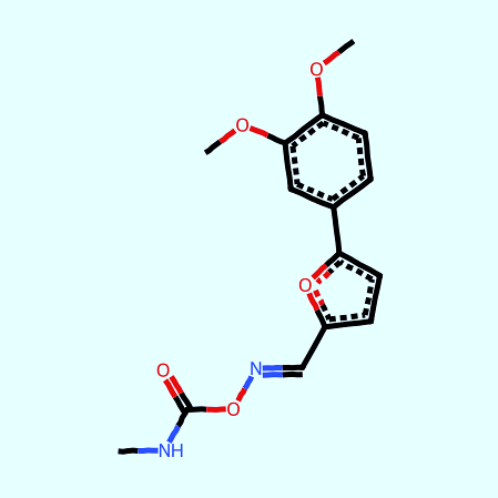 CNC(=O)ON=Cc1ccc(-c2ccc(OC)c(OC)c2)o1